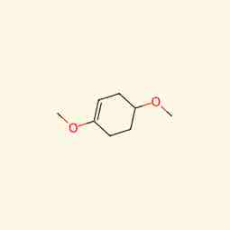 COC1=CCC(OC)CC1